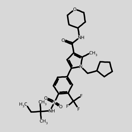 CCC(C)(C)NS(=O)(=O)c1ccc(-c2cc(C(=O)NC3CCOCC3)c(C)n2CC2CCCC2)cc1C(F)(F)F